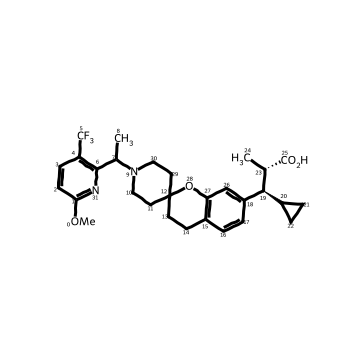 COc1ccc(C(F)(F)F)c(C(C)N2CCC3(CCc4ccc([C@H](C5CC5)[C@H](C)C(=O)O)cc4O3)CC2)n1